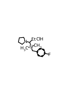 CCC(N1CCCC1)[Si](C)(C)Cc1ccc(F)cc1.Cl